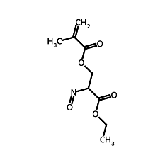 C=C(C)C(=O)OCC(N=O)C(=O)OCC